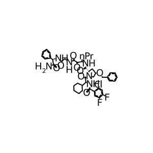 CCCC(NC(=O)[C@@H]1C[C@@H](OCc2ccccc2)CN1C(=O)C(NC(=O)c1cc(F)c(F)cc1Cl)C1CCCCC1)C(=O)C(=O)NCC(=O)N[C@@H](C(N)=O)c1ccccc1